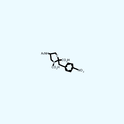 CC(=O)NC1CCC(Cc2ccc([N+](=O)[O-])cc2)(C(=O)O)N(C(=O)O)C1